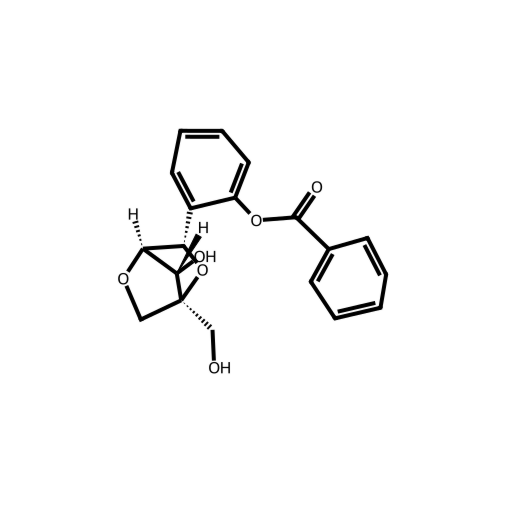 O=C(Oc1ccccc1[C@@H]1O[C@@]2(CO)CO[C@@H]1[C@@H]2O)c1ccccc1